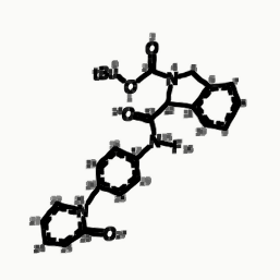 CC(C)(C)OC(=O)N1Cc2ccccc2C1C(=O)N(F)c1ccc(-n2ccccc2=O)cc1